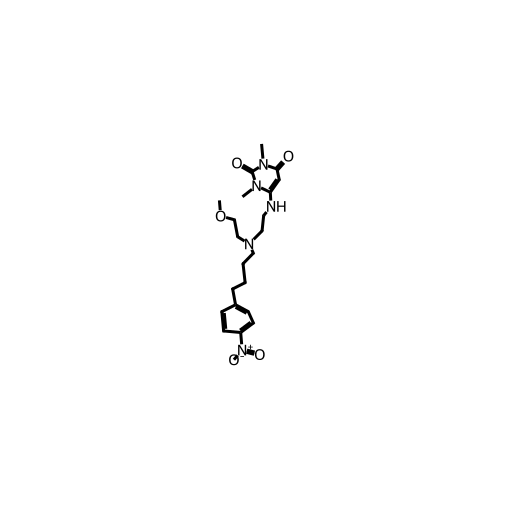 COCCN(CCCCc1ccc([N+](=O)[O-])cc1)CCNc1cc(=O)n(C)c(=O)n1C